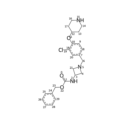 O=C(NC1CN(Cc2ccc(OC3CCNCC3)c(Cl)c2)C1)OCc1ccccc1